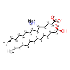 CCCCCCCCCCCCCC(=O)O.CCCCCCCCCCCCCC(=O)[O-].N.[Na+]